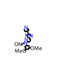 COc1cc(OC)cc(N(CCN=O)c2ccc3ncc(-c4ccncc4)nc3n2)c1